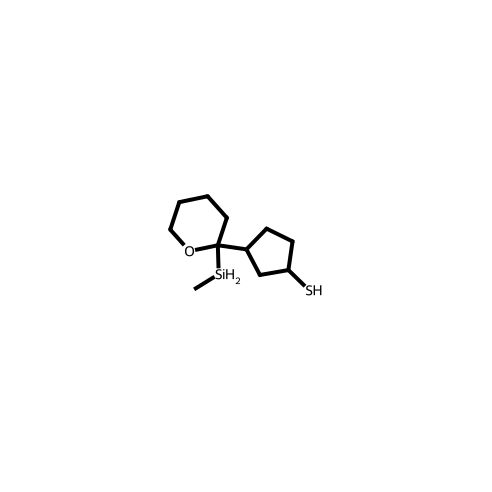 C[SiH2]C1(C2CCC(S)C2)CCCCO1